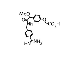 COC(C(=O)NCc1ccc(C(=N)N)cc1)c1ccc(OCC(=O)O)cc1